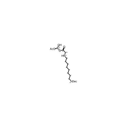 CCCCCCCCCCCCCCCCCCNCC(=O)OB(O)OC(C)=O